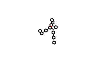 c1ccc(-c2ccc(-c3ccc(N(c4cccc(-c5ccc(-c6cccc7ccccc67)cc5)c4)c4ccccc4-c4cccc5c4oc4ccccc45)cc3)cc2)cc1